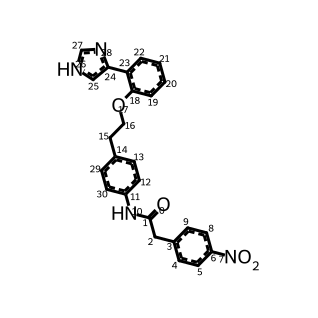 O=C(Cc1ccc([N+](=O)[O-])cc1)Nc1ccc(CCOc2ccccc2-c2c[nH]cn2)cc1